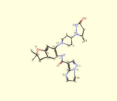 CC[C@@H]1CC(=O)NN1C1CCN(c2cc3c(cc2NC(=O)c2cnn4cccnc24)CC(C)(C)O3)CC1